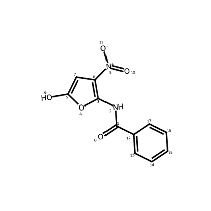 O=C(Nc1oc(O)cc1[N+](=O)[O-])c1ccccc1